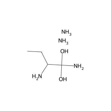 CCC(N)C(N)(O)O.N.N